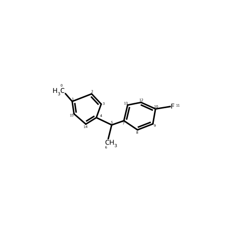 Cc1ccc(C(C)c2ccc(F)cc2)cc1